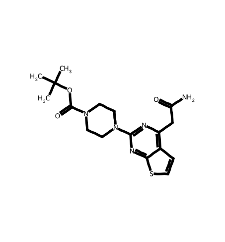 CC(C)(C)OC(=O)N1CCN(c2nc(CC(N)=O)c3ccsc3n2)CC1